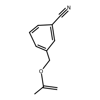 C=C(C)OCc1cccc(C#N)c1